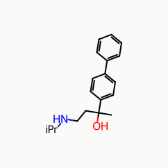 CC(C)NCCC(C)(O)c1ccc(-c2ccccc2)cc1